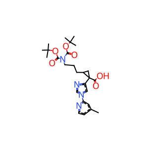 Cc1ccnc(-n2cnc(C3(C(=O)O)CC3CCCN(C(=O)OC(C)(C)C)C(=O)OC(C)(C)C)c2)c1